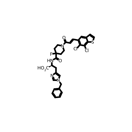 O=C(O)[C@H](Cc1cn(Cc2ccccc2)cn1)NC(=O)C1(F)CCN(C(=O)/C=C/c2cc3ccsc3c(Cl)c2Cl)CC1